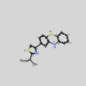 CNC(c1nc(-c2ccc3c(c2)Nc2ccccc2S3)cs1)C(C)C